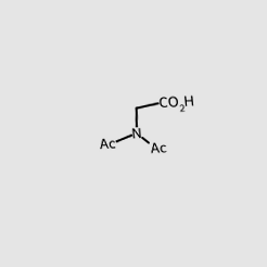 CC(=O)N(CC(=O)O)C(C)=O